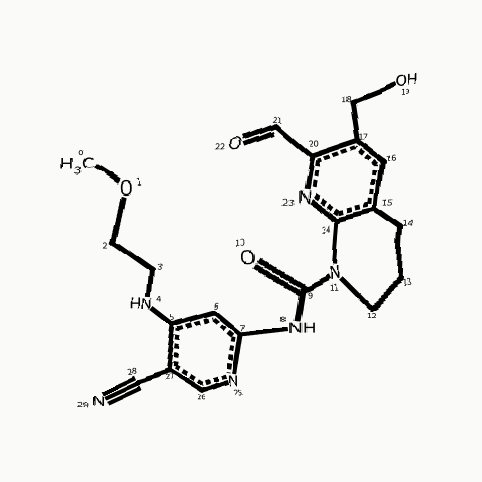 COCCNc1cc(NC(=O)N2CCCc3cc(CO)c(C=O)nc32)ncc1C#N